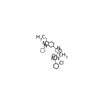 CCc1nn(C2CCCC2)c2cc(C3=NOC(C)(c4nc(-c5ccccc5Cl)no4)C3)ccc12